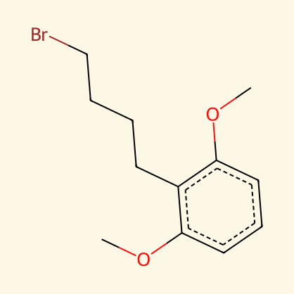 COc1cccc(OC)c1CCCCBr